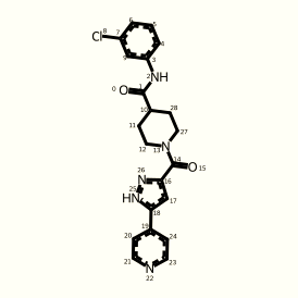 O=C(Nc1cccc(Cl)c1)C1CCN(C(=O)c2cc(-c3ccncc3)[nH]n2)CC1